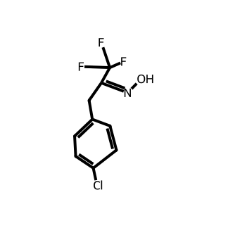 ON=C(Cc1ccc(Cl)cc1)C(F)(F)F